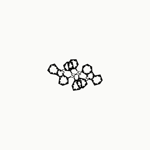 c1ccc([Si](c2ccccc2)(c2cccc3c2sc2ccccc23)[Si](c2ccccc2)(c2ccccc2)c2cccc3c2sc2ccccc23)cc1